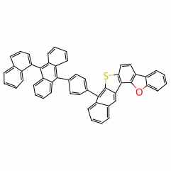 c1ccc2c(-c3c4ccccc4c(-c4ccc(-c5c6ccccc6cc6c5sc5ccc7c8ccccc8oc7c56)cc4)c4ccccc34)cccc2c1